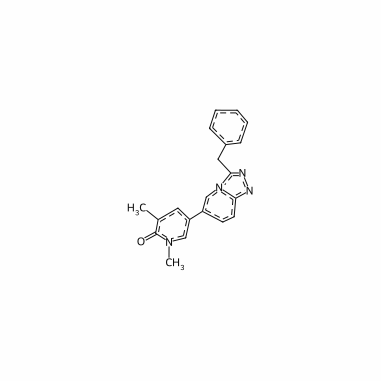 Cc1cc(-c2ccc3nnc(Cc4ccccc4)n3c2)cn(C)c1=O